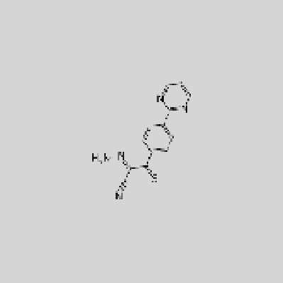 N#CC(=NN)C(=S)c1ccc(-c2ncccn2)cc1